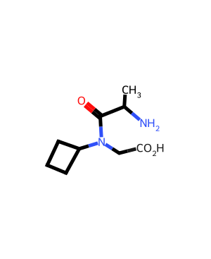 CC(N)C(=O)N(CC(=O)O)C1CCC1